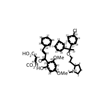 CN1CCCC1CCOC(C)(c1ccccc1)c1ccc(Cl)cc1.COc1cc(O)c(C(=O)C=Cc2ccccc2)c(OC)c1.O=C(O)C=CC(=O)O